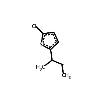 C[CH]C(C)c1ccc(Cl)s1